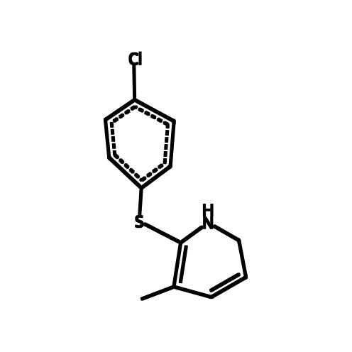 CC1=C(Sc2ccc(Cl)cc2)NCC=C1